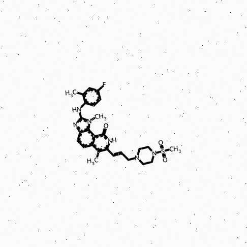 Cc1cc(F)ccc1Nc1nc2ccc3c(C)c(C=CCN4CCN(S(C)(=O)=O)CC4)[nH]c(=O)c3c2n1C